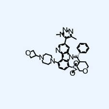 Cc1nnn(C)c1-c1cnc2c3c(N4CCN(C5COC5)CC4)ccc(S(C)(=O)=O)c3n([C@H](c3ccccc3)C3CCOCC3)c2c1